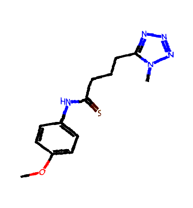 COc1ccc(NC(=S)CCCc2nnnn2C)cc1